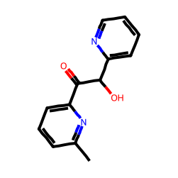 Cc1cccc(C(=O)C(O)c2ccccn2)n1